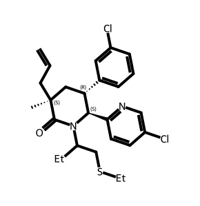 C=CC[C@@]1(C)C[C@H](c2cccc(Cl)c2)[C@@H](c2ccc(Cl)cn2)N(C(CC)CSCC)C1=O